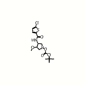 COC1CN(OC(=O)OC(C)(C)C)CC1NC(=O)c1ccc(Cl)s1